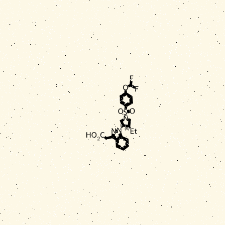 CC[C@@H]1CN(S(=O)(=O)c2ccc(OC(F)F)cc2)C[C@@H]1n1nc(CC(=O)O)c2ccccc21